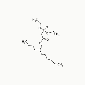 CCCCCCC(CCCC)COC(=O)CP(=O)(OCC)OCC